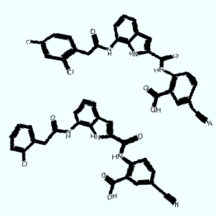 N#Cc1ccc(NC(=O)c2cc3cccc(NC(=O)Cc4ccc(Cl)cc4Cl)c3[nH]2)c(C(=O)O)c1.N#Cc1ccc(NC(=O)c2cc3cccc(NC(=O)Cc4ccccc4Cl)c3[nH]2)c(C(=O)O)c1